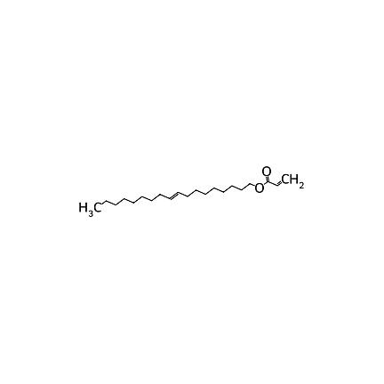 C=CC(=O)OCCCCCCCCC=CCCCCCCCC